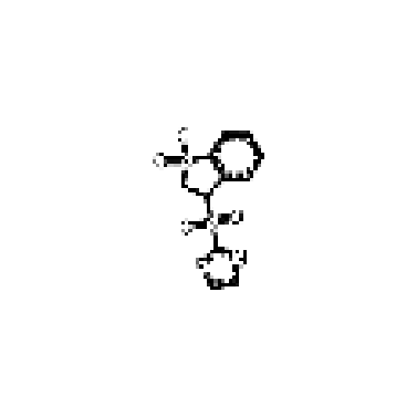 O=S1(=O)CC(S(=O)(=O)c2nccs2)c2ccccc21